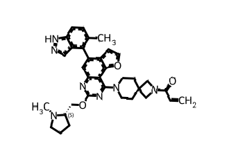 C=CC(=O)N1CC2(CCN(c3nc(OC[C@@H]4CCCN4C)nc4cc(-c5c(C)ccc6[nH]ncc56)c5ccoc5c34)CC2)C1